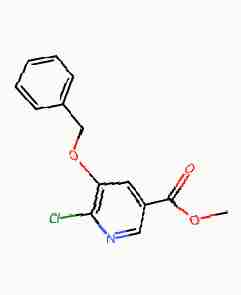 COC(=O)c1cnc(Cl)c(OCc2ccccc2)c1